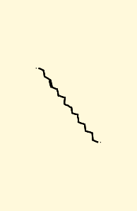 [CH2]CCC=CCCCCCCCCCCCC[CH2]